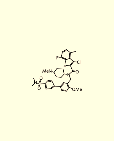 CN[C@H]1CC[C@H](N(Cc2cc(-c3ccc(S(=O)(=O)N(C)C)cc3)ccc2OC)C(=O)c2sc3c(F)ccc(C)c3c2Cl)CC1